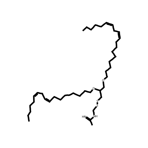 CCCCC/C=C\C/C=C\CCCCCCCCOCC(CSSCNC(C)=N)OCCCCCCCC/C=C\C/C=C\CCCCC